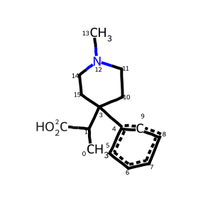 CC(C(=O)O)C1(c2ccccc2)CCN(C)CC1